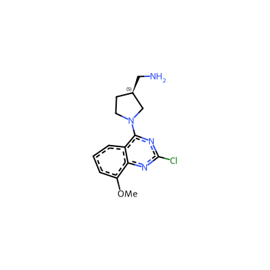 COc1cccc2c(N3CC[C@@H](CN)C3)nc(Cl)nc12